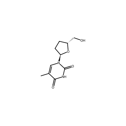 Cc1cn([C@H]2CC[C@H](CO)O2)c(=O)[nH]c1=O